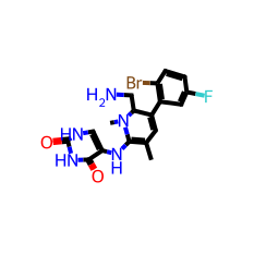 CC1=C(Nc2c[nH]c(=O)[nH]c2=O)N(C)C(CN)C(c2cc(F)ccc2Br)=C1